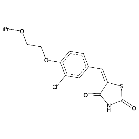 CC(C)OCCOc1ccc(C=C2SC(=O)NC2=O)cc1Cl